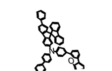 c1ccc(-c2ccc(N(c3ccc(-c4cccc5c4oc4ccccc45)cc3)c3ccc4c(c3)C3(c5ccccc5-c5ccccc53)c3cc(-c5ccccc5)ccc3-4)cc2)cc1